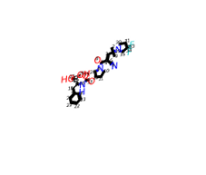 CC(C)(/C=C(\C#N)C(=O)N1CC[C@@H](OC(=O)N[C@@H](Cc2ccccc2)B(O)O)C1)N1CCC(F)(F)C1